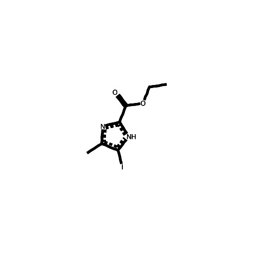 CCOC(=O)c1nc(C)c(I)[nH]1